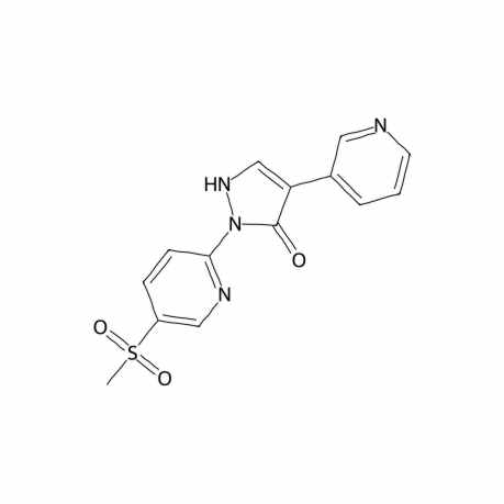 CS(=O)(=O)c1ccc(-n2[nH]cc(-c3cccnc3)c2=O)nc1